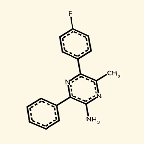 Cc1nc(N)c(-c2ccccc2)nc1-c1ccc(F)cc1